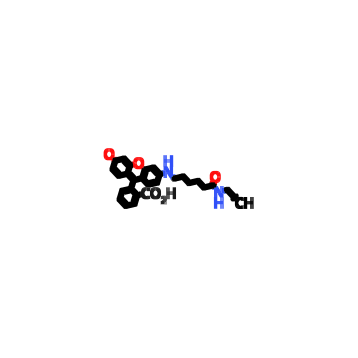 C#CCNC(=O)CCCCCNc1ccc2c(-c3ccccc3C(=O)O)c3ccc(=O)cc-3oc2c1